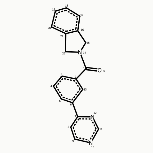 O=C(c1[c]ccc(-c2ccncn2)c1)N1Cc2ccccc2C1